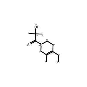 CCC1=C(C)CN(C(=O)C(C)(C)O)CC1